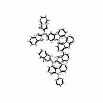 c1ccc(-n2c3ccccc3c3c(N(c4nc5ccccc5[nH]4)c4nc5cccc(-c6ccc(-n7c8ccccc8c8cc(N(c9nc%10ccccc%10[nH]9)c9nc%10ccccc%10[nH]9)ccc87)c7c6oc6ccccc67)c5[nH]4)cccc32)cc1